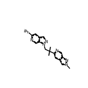 CC(C)c1cc2cnn(CC(C)(C)c3cc4cn(C)nc4cn3)c2cn1